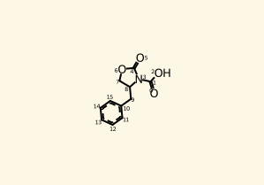 O=C(O)N1C(=O)OCC1Cc1ccccc1